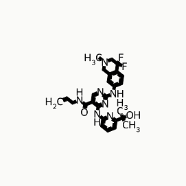 C=CCNC(=O)c1cnc(Nc2ccc3c(c2)CN(C)CC3(F)F)nc1Nc1cccc(C(C)(C)O)n1